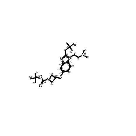 CN(C)CCn1c(CC(C)(C)C)nc2cc(SC3CN(C(=O)OC(C)(C)C)C3)ccc21